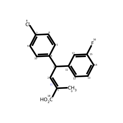 C/C(=C\C(c1ccc(Cl)cc1)c1cccc(F)c1)C(=O)O